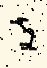 COc1cc(/C=C/C=C/C(=O)N2CCN3CCN(C(=O)/C=C/C=C/c4cc(OC)c(OC)c(OC)c4)CC3C2)cc(OC)c1OC